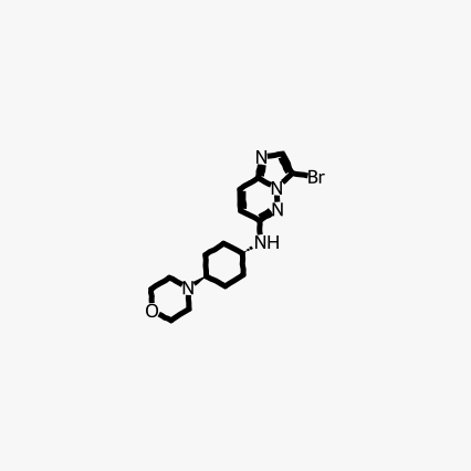 Brc1cnc2ccc(N[C@H]3CC[C@H](N4CCOCC4)CC3)nn12